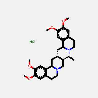 CC[C@H]1CN2CCc3cc(OC)c(OC)cc3C2C[C@@H]1CC1NCCc2cc(OC)c(OC)cc21.Cl